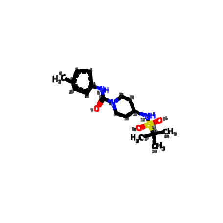 Cc1ccc(NC(=O)N2CCC(NS(=O)(=O)C(C)(C)C)CC2)cc1